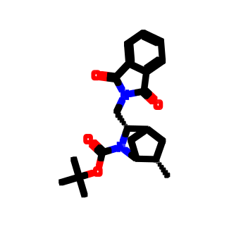 C[C@H]1CC2CC1N(C(=O)OC(C)(C)C)[C@@H]2CN1C(=O)c2ccccc2C1=O